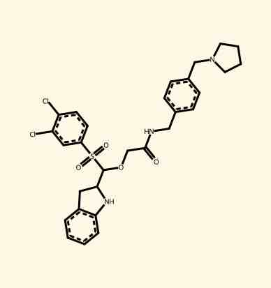 O=C(COC(C1Cc2ccccc2N1)S(=O)(=O)c1ccc(Cl)c(Cl)c1)NCc1ccc(CN2CCCC2)cc1